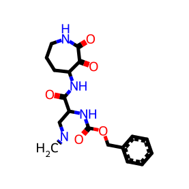 C=NCC(NC(=O)OCc1ccccc1)C(=O)NC1CCCNC(=O)C1=O